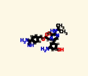 CC(C)Nc1ncc(-c2cc(N)cc(O)c2)n(CC(=O)OCc2ccc(C(=N)N)cc2)c1=O